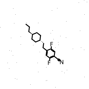 CCC[C@H]1CC[C@H](CCc2cc(F)c(C#N)cc2F)CC1